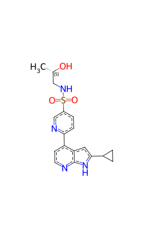 C[C@H](O)CNS(=O)(=O)c1ccc(-c2ccnc3[nH]c(C4CC4)cc23)nc1